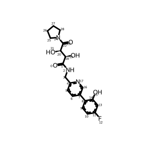 O=C(NCc1ccc(-c2ccc(F)cc2O)cn1)[C@H](O)[C@@H](O)C(=O)N1CCCC1